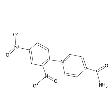 NC(=O)c1cc[n+](-c2ccc([N+](=O)[O-])cc2[N+](=O)[O-])cc1